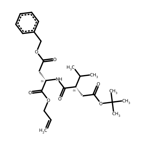 C=CCOC(=O)[C@H](CC(=O)OCc1ccccc1)NC(=O)[C@@H](CC(=O)OC(C)(C)C)C(C)C